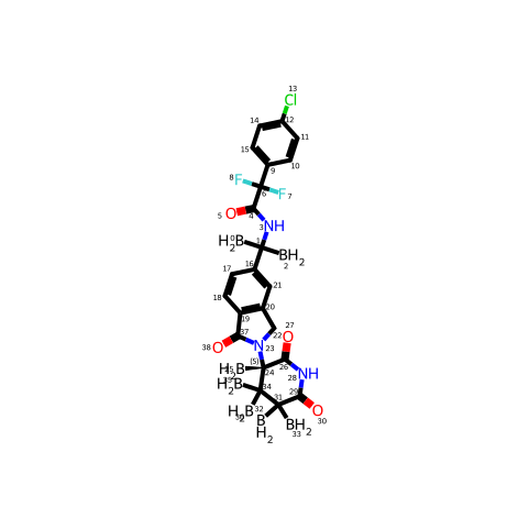 BC(B)(NC(=O)C(F)(F)c1ccc(Cl)cc1)c1ccc2c(c1)CN([C@]1(B)C(=O)NC(=O)C(B)(B)C1(B)B)C2=O